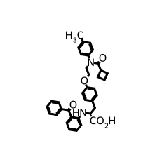 Cc1ccc(N(CCOc2ccc(C[C@H](Nc3ccccc3C(=O)c3ccccc3)C(=O)O)cc2)C(=O)C2CCC2)cc1